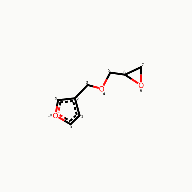 c1cc(COCC2CO2)co1